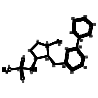 CC(=O)N1CC[C@H](NS(C)(=O)=O)[C@@H]1Cc1cccc(-c2ccccc2)c1